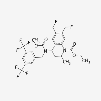 CCOC(=O)N1c2cc(CF)c(CF)cc2C(N(Cc2cc(C(F)(F)F)cc(C(F)(F)F)c2)C(=O)OC)CC1C